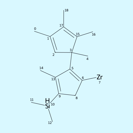 CC1=CC(C)(C2=[C]([Zr])CC([SiH](C)C)=C2C)C(C)=C1C